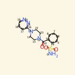 NS(=O)(=O)c1ccccc1C(=O)N1CCN(c2cccnn2)CC1